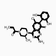 C=CC(=O)N1CCN(c2nc(N)nc3c(F)c(-c4c(O)cccc4O)c(Cl)cc23)[C@@H](C)C1